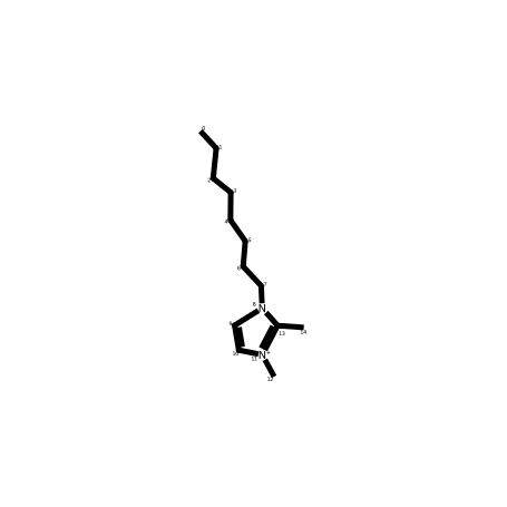 CCCCCCCCn1cc[n+](C)c1C